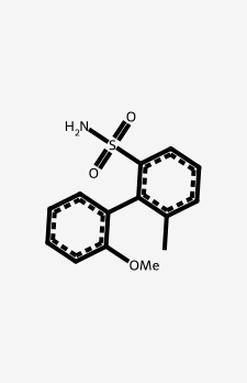 COc1ccccc1-c1c(C)cccc1S(N)(=O)=O